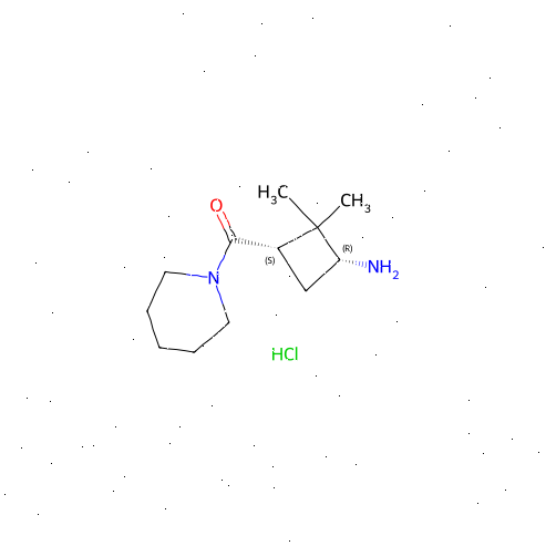 CC1(C)[C@H](N)C[C@@H]1C(=O)N1CCCCC1.Cl